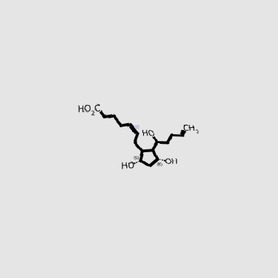 C=CCCC(O)C1C(C/C=C\CCCC(=O)O)[C@@H](O)C[C@H]1O